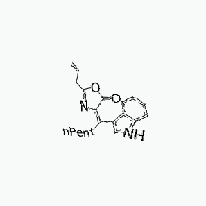 C=CCC1=NC(=C(CCCCC)c2c[nH]c3ccccc23)C(=O)O1